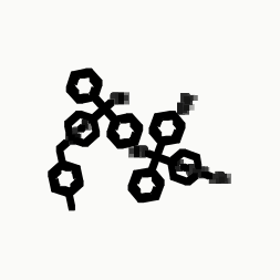 CCCC[N+]12CCC(C(O)(c3ccccc3)c3ccccc3)(CC1)CC2.Cc1ccc(C[N+]23CCC(C(O)(c4ccccc4)c4ccccc4)(CC2)CC3)cc1.[Br-].[Br-]